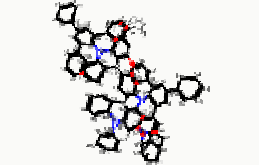 CC(C)(C)c1cc2c3c(c1)N(c1c(-c4ccccc4)cc(-c4ccccc4)cc1-c1ccccc1)c1ccccc1B3c1cc3c(cc1O2)N(c1c(-c2ccccc2)cc(-c2ccccc2)cc1-c1ccccc1)c1cc(N2C4CC5CC(C4)CC2C5)cc2c1B3c1ccccc1N2c1ccccc1